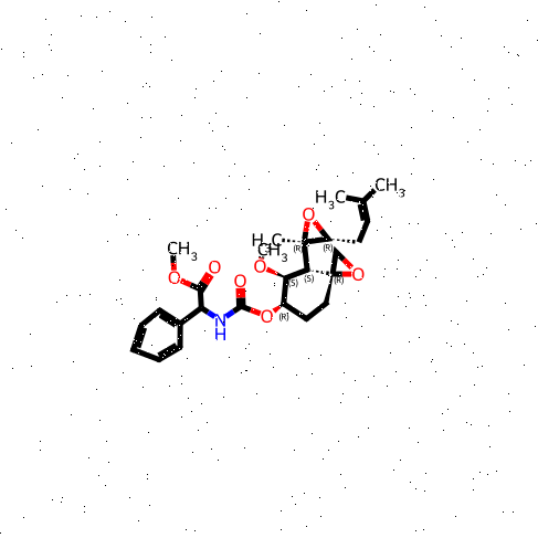 COC(=O)C(NC(=O)O[C@@H]1CC[C@]2(CO2)[C@@H]([C@@]2(C)O[C@@H]2CC=C(C)C)[C@@H]1OC)c1ccccc1